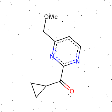 COCc1ccnc(C(=O)C2CC2)n1